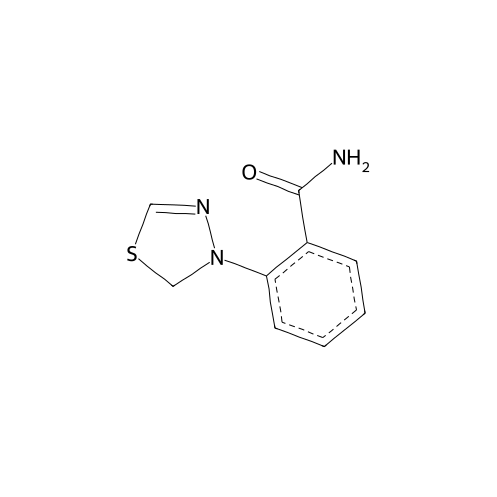 NC(=O)c1ccccc1N1CSC=N1